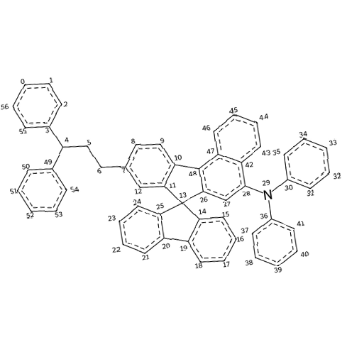 c1ccc(C(CCc2ccc3c(c2)C2(c4ccccc4-c4ccccc42)c2cc(N(c4ccccc4)c4ccccc4)c4ccccc4c2-3)c2ccccc2)cc1